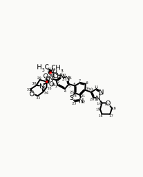 CN(c1ccc(-c2ccc(-c3cnn(C4CCCCO4)c3)c3ncsc23)nn1)C1CC2COCC(C1)N2C(=O)OC(C)(C)C